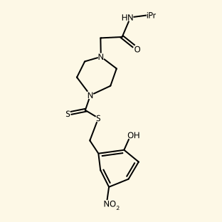 CC(C)NC(=O)CN1CCN(C(=S)SCc2cc([N+](=O)[O-])ccc2O)CC1